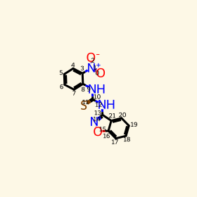 O=[N+]([O-])c1ccccc1NC(=S)Nc1noc2ccccc12